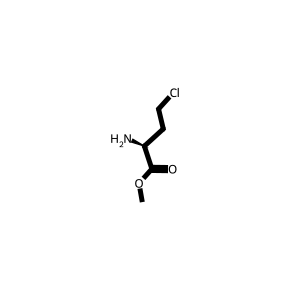 COC(=O)[C@@H](N)CCCl